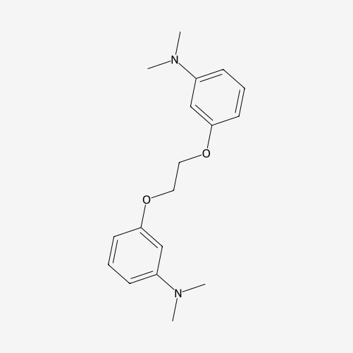 CN(C)c1cccc(OCCOc2cccc(N(C)C)c2)c1